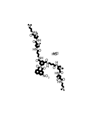 CN(C)CCCNC(=O)c1cc(NC(=O)c2cc(NC(=O)CCCNC(=O)c3cc(C(=O)NCCCC(=O)Nc4cc(C(=O)Nc5cc(C(=O)NCCCN(C)C)n(C)c5)n(C)c4)cc(N4C(=O)c5cccc6cc([N+](=O)[O-])cc(c56)C4=O)c3)cn2C)cn1C.Cl.Cl